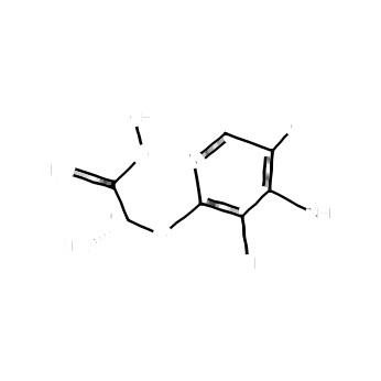 C=C(OC)[C@@H](C)Oc1ncc(Cl)c(N)c1Cl